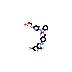 C[C@H](O)COc1ccc(-n2c(=O)n(CC3CCC(NC(=O)c4cc(Cl)cnc4C(F)(F)F)CC3)c3ccccc32)cn1